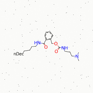 CCCCCCCCCCCCCCNC(=O)c1ccccc1COC(=O)NCCCN(C)C